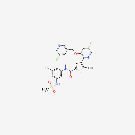 CS(=O)(=O)Nc1cc(Cl)cc(NC(=O)c2cc(-c3ncc(F)cc3OCc3cncc(F)c3)c(C#N)s2)c1